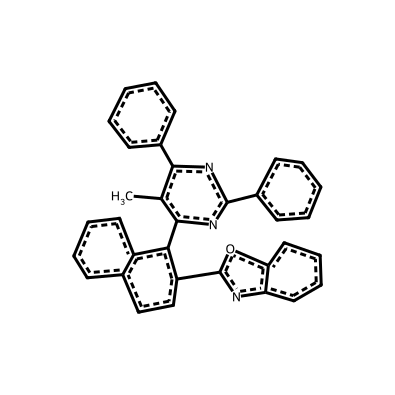 Cc1c(-c2ccccc2)nc(-c2ccccc2)nc1-c1c(-c2nc3ccccc3o2)ccc2ccccc12